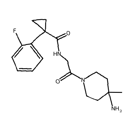 CC1(N)CCN(C(=O)CNC(=O)C2(c3ccccc3F)CC2)CC1